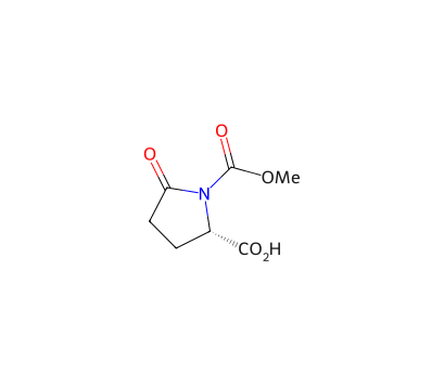 COC(=O)N1C(=O)CC[C@H]1C(=O)O